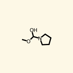 COC(O)N1CCCC1